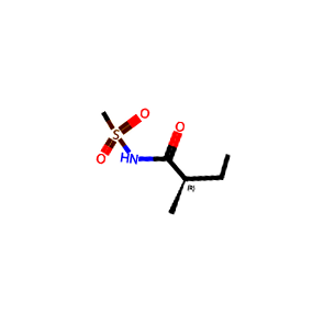 CC[C@@H](C)C(=O)NS(C)(=O)=O